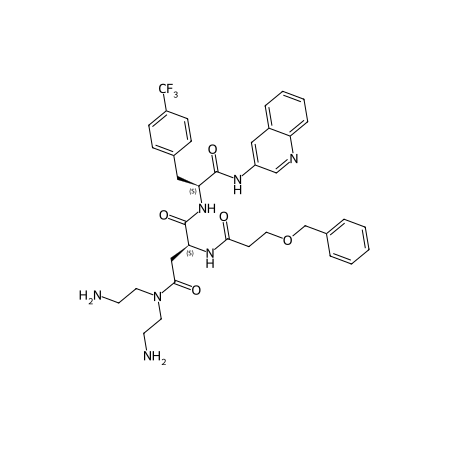 NCCN(CCN)C(=O)C[C@H](NC(=O)CCOCc1ccccc1)C(=O)N[C@@H](Cc1ccc(C(F)(F)F)cc1)C(=O)Nc1cnc2ccccc2c1